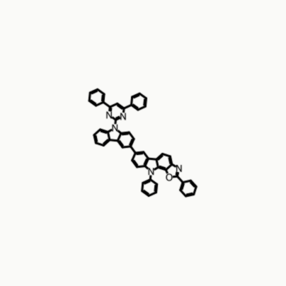 c1ccc(-c2cc(-c3ccccc3)nc(-n3c4ccccc4c4cc(-c5ccc6c(c5)c5ccc7nc(-c8ccccc8)oc7c5n6-c5ccccc5)ccc43)n2)cc1